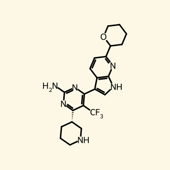 Nc1nc(-c2c[nH]c3nc(C4CCCCO4)ccc23)c(C(F)(F)F)c([C@H]2CCCNC2)n1